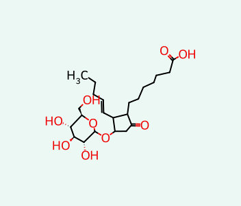 CCC/C=C/C1C(OC2O[C@H](CO)[C@@H](O)[C@H](O)[C@H]2O)CC(=O)C1CCCCCCC(=O)O